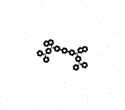 c1ccc(N(c2ccccc2)c2ccc(N(c3ccc(-c4ccc(-c5ccc(N(c6ccc(N(c7ccccc7)c7ccccc7)cc6)c6cccc7ccccc67)cc5)cc4)cc3)c3ccc4ccccc4c3)cc2)cc1